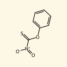 O=[N+]([O-])C(=S)Oc1ccccc1